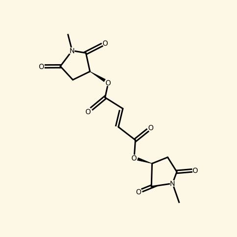 CN1C(=O)C[C@H](OC(=O)/C=C/C(=O)O[C@H]2CC(=O)N(C)C2=O)C1=O